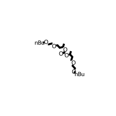 CCCCOCCOCCC(C)OC(=O)OC(C)CCOCCOCCCC